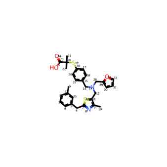 Cc1cccc(Cc2nc(C)c(CN(Cc3ccc(SC(C)(C)C(=O)O)cc3)Cc3ccco3)s2)c1